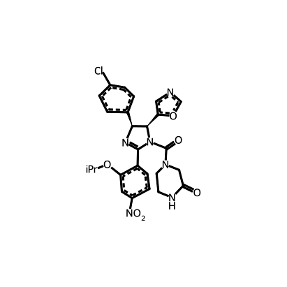 CC(C)Oc1cc([N+](=O)[O-])ccc1C1=N[C@@H](c2ccc(Cl)cc2)[C@@H](c2cnco2)N1C(=O)N1CCNC(=O)C1